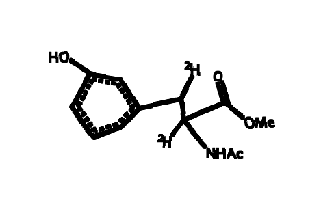 [2H]C(c1cccc(O)c1)C([2H])(NC(C)=O)C(=O)OC